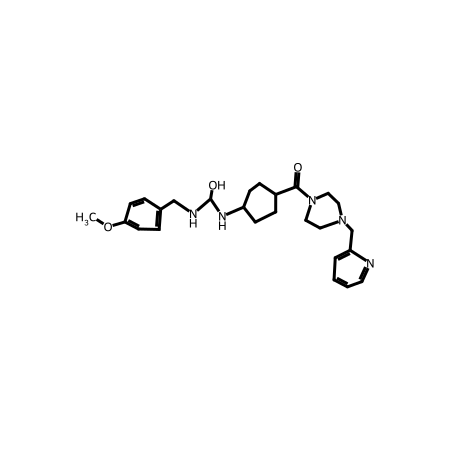 COc1ccc(CNC(O)NC2CCC(C(=O)N3CCN(Cc4ccccn4)CC3)CC2)cc1